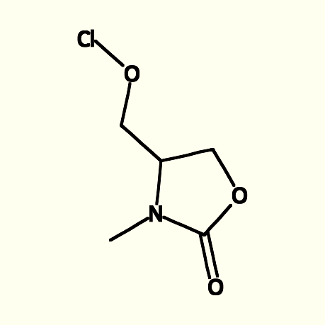 CN1C(=O)OCC1COCl